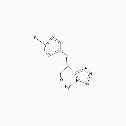 Cn1nnnc1C(C=O)=Cc1ccc(F)cc1